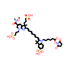 CON(C)C(=O)c1cc2c([n+](CCCS(=O)(=O)O)c1)N=C(/C=C/C=C/C=C/C=C1/N(CCCCCC(=O)ON3C(=O)CCC3=O)c3ccc(S(=O)(=O)O)cc3C1(C)C)C2(C)CCCS(=O)(=O)O